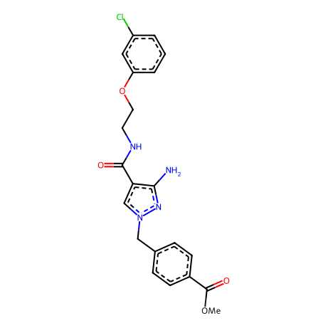 COC(=O)c1ccc(Cn2cc(C(=O)NCCOc3cccc(Cl)c3)c(N)n2)cc1